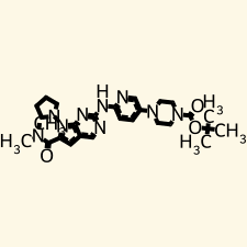 CN(C)C(=O)c1cc2cnc(Nc3ccc(N4CCN(C(=O)OC(C)(C)C)CC4)cn3)nc2n1N1CCCC1